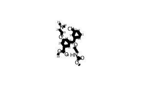 COC(=O)NCCOC(c1cccc(Cl)c1)c1cc(OCCN(C)C)cc(C(=O)OC)c1